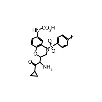 NC(C(=O)C1CC1)C1CN(S(=O)(=O)c2ccc(F)cc2)c2cc(NC(=O)O)ccc2O1